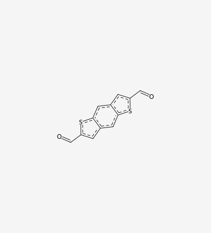 O=Cc1cc2cc3sc(C=O)cc3cc2s1